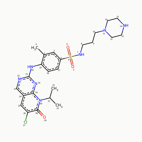 Cc1cc(S(=O)(=O)NCCCN2CCNCC2)ccc1Nc1ncc2cc(Cl)c(=O)n(C(C)C)c2n1